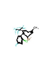 Cc1[c]c(Br)c(-c2ccc(F)cc2Cl)c(C(F)(C(F)(F)F)C(F)(F)F)c1